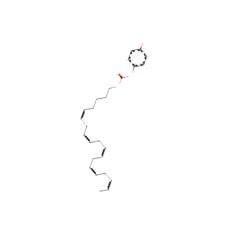 C/C=C\C/C=C\C/C=C\C/C=C\C/C=C\CCCCOC(=O)Oc1ccc(O)cc1